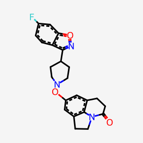 O=C1CCc2cc(ON3CCC(c4noc5cc(F)ccc45)CC3)cc3c2N1CC3